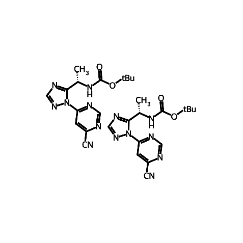 C[C@H](NC(=O)OC(C)(C)C)c1ncnn1-c1cc(C#N)ncn1.C[C@H](NC(=O)OC(C)(C)C)c1ncnn1-c1cc(C#N)ncn1